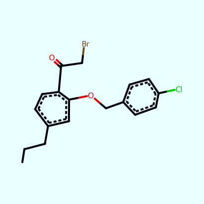 CCCc1ccc(C(=O)CBr)c(OCc2ccc(Cl)cc2)c1